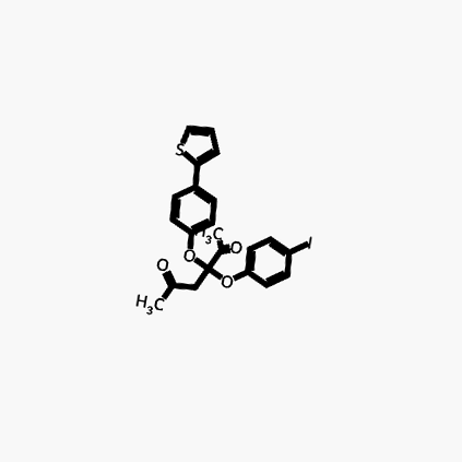 CC(=O)CC(Oc1ccc(I)cc1)(Oc1ccc(-c2cccs2)cc1)C(C)=O